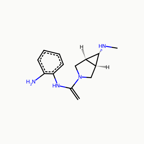 C=C(Nc1ccccc1N)N1C[C@@H]2[C@H](C1)[C@H]2NC